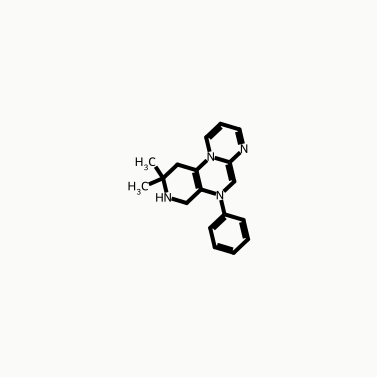 CC1(C)CC2=C(CN1)N(c1ccccc1)C=C1N=CC=CN12